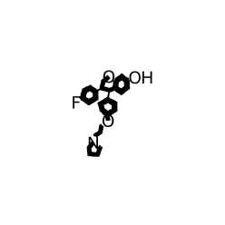 Oc1ccc2c(c1)OC[C@H](c1ccc(F)cc1)[C@@H]2c1ccc(OCCCN2CCCC2)cc1